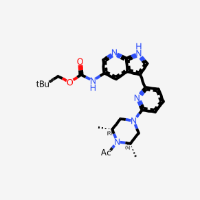 CC(=O)N1[C@H](C)CN(c2cccc(-c3c[nH]c4ncc(NC(=O)OCC(C)(C)C)cc34)n2)C[C@@H]1C